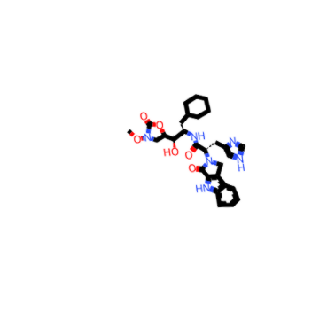 CON1CC([C@H](O)[C@H](CC2CCCCC2)NC(=O)[C@H](Cc2c[nH]cn2)N2Cc3c([nH]c4ccccc34)C2=O)OC1=O